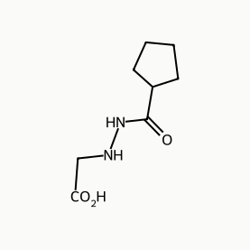 O=C(O)CNNC(=O)C1CCCC1